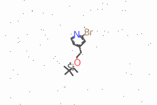 CC(C)(C)[Si](C)(C)OCCc1ccnc(Br)c1